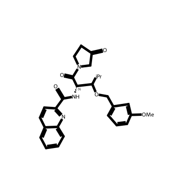 COc1cccc(COC(C(C)C)[C@H](NC(=O)c2ccc3ccccc3n2)C(=O)N2CCC(=O)C2)c1